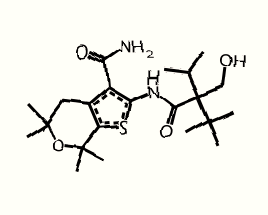 CC(C)C(CO)(C(=O)Nc1sc2c(c1C(N)=O)CC(C)(C)OC2(C)C)C(C)(C)C